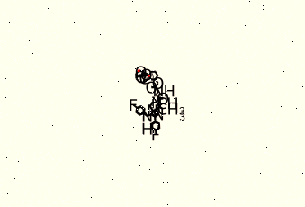 CC1(C)c2nc(-c3ccc(F)cc3)c(Nc3ccc(F)cc3)n2CCN1C(=O)CNC(=O)OC1CCC[C@]2(CC3CC4CC(C3)CC(C4)OO2)C1